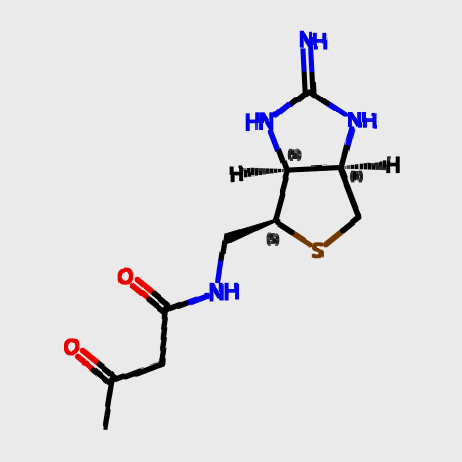 CC(=O)CC(=O)NC[C@@H]1SC[C@@H]2NC(=N)N[C@@H]21